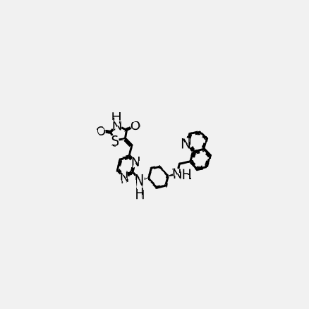 O=C1NC(=O)/C(=C/c2ccnc(N[C@H]3CC[C@H](NCc4cccc5cccnc45)CC3)n2)S1